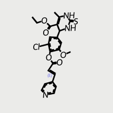 CCOC(=O)C1=C(C)NC(=S)NC1c1cc(Cl)c(OC(=O)/C=C/c2ccncc2)c(OC)c1